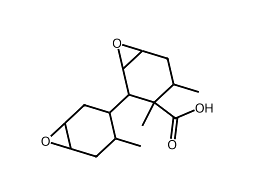 CC1CC2OC2CC1C1C2OC2CC(C)C1(C)C(=O)O